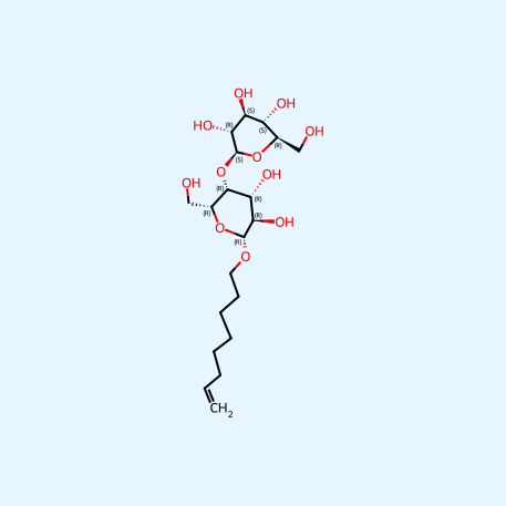 C=CCCCCCCO[C@@H]1O[C@H](CO)[C@H](O[C@@H]2O[C@H](CO)[C@@H](O)[C@H](O)[C@H]2O)[C@H](O)[C@H]1O